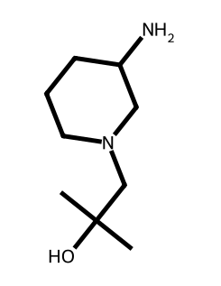 CC(C)(O)CN1CCCC(N)C1